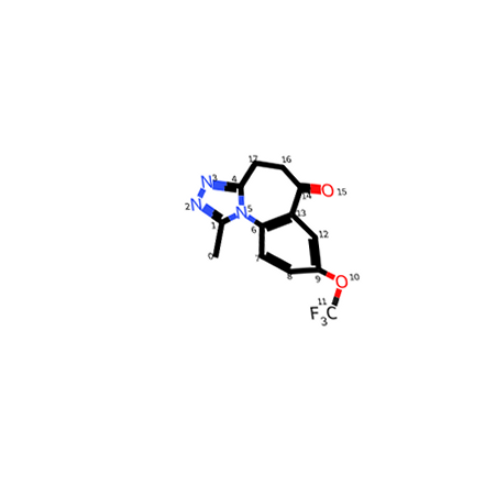 Cc1nnc2n1-c1ccc(OC(F)(F)F)cc1C(=O)CC2